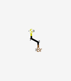 [S]CCBr